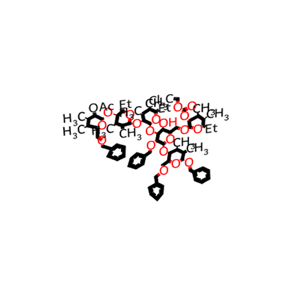 CCC1O[C@@H](O[C@@H]2C(OCc3ccccc3)[C@H](O[C@@H]3C(COCc4ccccc4)O[C@@H](OCc4ccccc4)C(C)[C@H]3C)OC(CO[C@H]3OC(CC)[C@@H](C)[C@H](C)C3OC(=O)OCC(Cl)(Cl)Cl)[C@H]2O)[C@@H](O[C@@H]2OC(CC)[C@@H](O[C@@H]3OC(COCc4ccccc4)[C@H](C)[C@H](C)C3OC(C)=O)[C@H](C)C2C)C(C)[C@H]1C